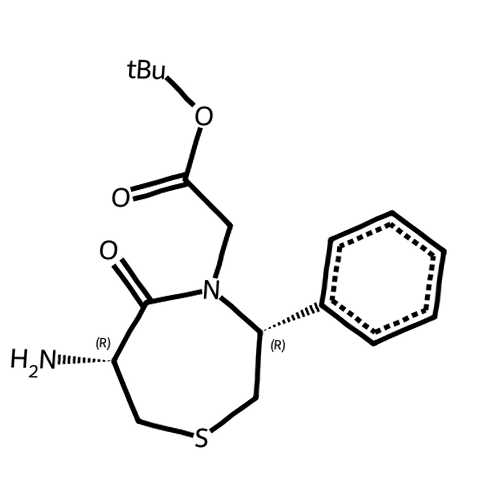 CC(C)(C)OC(=O)CN1C(=O)[C@@H](N)CSC[C@H]1c1ccccc1